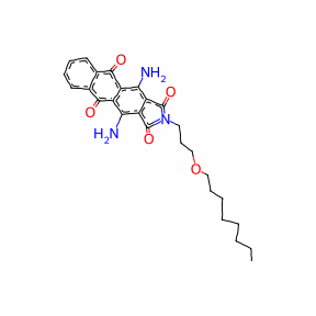 CCCCCCCCOCCCn1c(=O)c2c(N)c3c(=O)c4ccccc4c(=O)c3c(N)c2c1=O